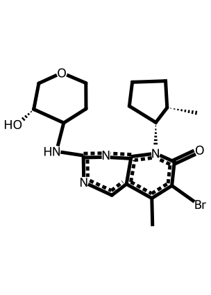 Cc1c(Br)c(=O)n([C@@H]2CCC[C@@H]2C)c2nc(NC3CCOC[C@H]3O)ncc12